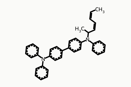 C/C=C\C=C/C(C)N(c1ccccc1)c1ccc(-c2ccc(N(c3ccccc3)c3ccccc3)cc2)cc1